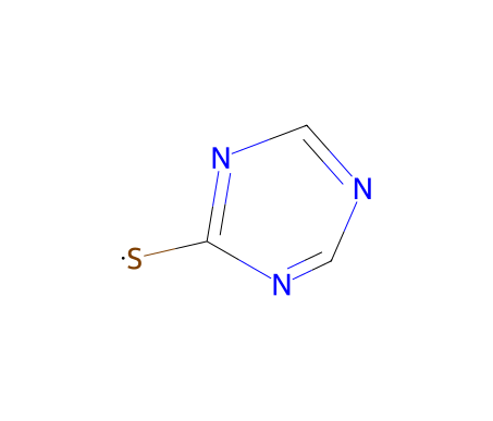 [S]c1ncncn1